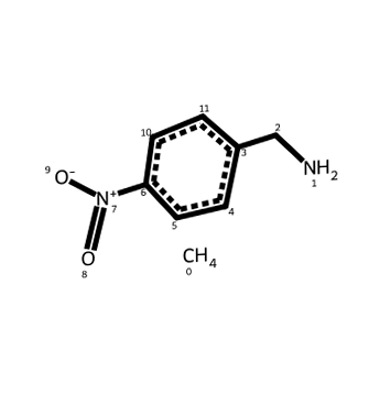 C.NCc1ccc([N+](=O)[O-])cc1